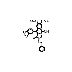 COc1cc2c(O)c3c(c(-c4ccc5c(c4)OCO5)c2cc1OC)C(=O)N(N=Cc1ccccc1)C3